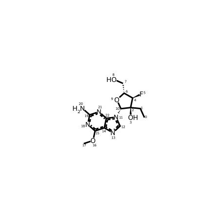 CC[C@@]1(O)[C@H](F)[C@@H](CO)O[C@H]1n1cnc2c(OC)nc(N)nc21